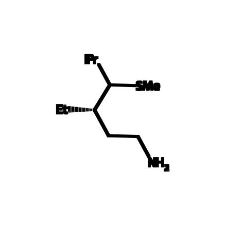 CC[C@@H](CCN)C(SC)C(C)C